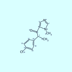 CC(C(=O)c1cncn1C)c1ccc(Cl)cc1